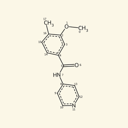 COc1cc(C(=O)Nc2ccncc2)ccc1C